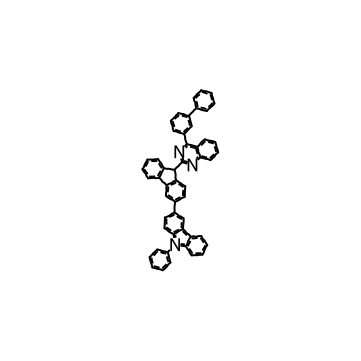 c1ccc(-c2cccc(-c3nc(C4c5ccccc5-c5cc(-c6ccc7c(c6)c6ccccc6n7-c6ccccc6)ccc54)nc4ccccc34)c2)cc1